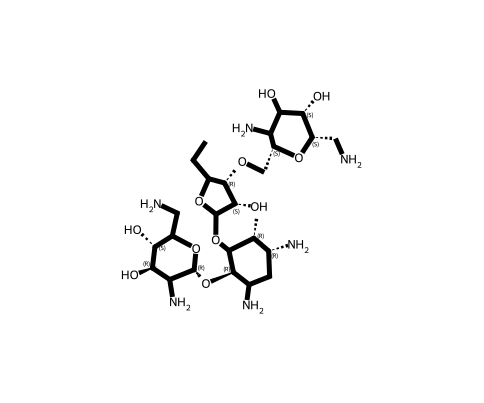 CCC1OC(OC2[C@H](O[C@H]3OC(CN)[C@@H](O)[C@H](O)C3N)C(N)C[C@@H](N)[C@H]2C)[C@@H](O)[C@H]1OC[C@H]1O[C@@H](CN)[C@@H](O)C(O)C1N